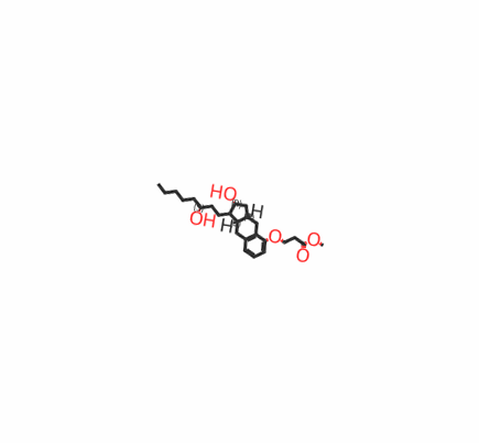 CCCCC[C@H](O)CCC1[C@H](O)C[C@@H]2Cc3c(cccc3OCCC(=O)OC)C[C@H]12